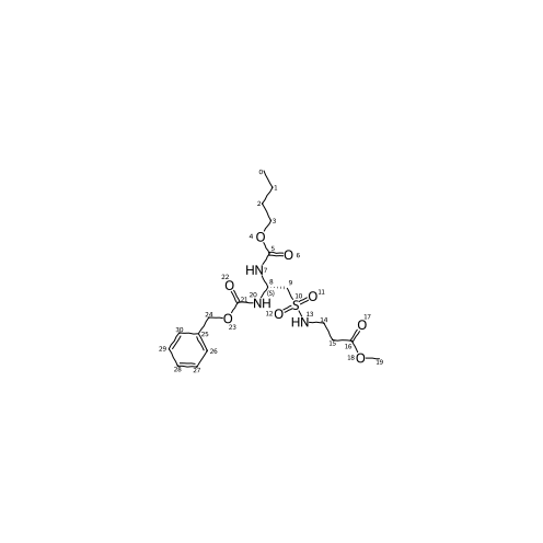 CCCCOC(=O)N[C@H](CS(=O)(=O)NCCC(=O)OC)NC(=O)OCc1ccccc1